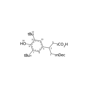 CCCCCCCCCCCC(CC(=O)O)c1cc(C(C)(C)C)c(O)c(C(C)(C)C)c1